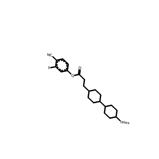 CCCCCCC1CCC(C2CCC(CCC(=O)Oc3ccc(C#N)c(F)c3)CC2)CC1